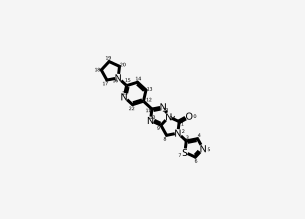 O=C1N(c2cncs2)Cc2nc(-c3ccc(N4CCCC4)nc3)nn21